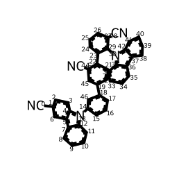 N#Cc1ccc2c(c1)c1ccccc1n2-c1cccc(-c2ccc(-c3cccc(C#N)c3-n3c4ccccc4c4ccccc43)c(C#N)c2)c1